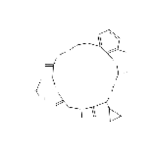 CC(C)C[C@H]1NC(=O)[C@@H](C)N(C)C(=O)[C@H](C2CC2)NC[C@@H](C)Oc2c(Cl)cccc2CCCNC1=O